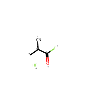 CC(C#N)C(=O)F.F